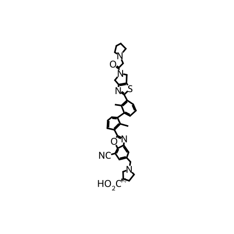 Cc1c(-c2nc3cc(CN4CC[C@@H](C(=O)O)C4)cc(C#N)c3o2)cccc1-c1cccc(-c2nc3c(s2)CN(C(=O)CN2CCCC2)C3)c1C